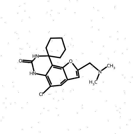 CN(C)Cc1cc2cc(Cl)c3c(c2o1)C1(CCCCC1)NC(=O)N3